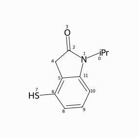 CC(C)N1C(=O)Cc2c(S)cccc21